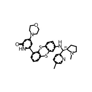 Cc1ccc(C(Nc2ccc3c(c2)Sc2cccc(-c4cc(N5CCOCC5)cc(=O)[nH]4)c2S3)[C@H]2CCCN2C)nc1